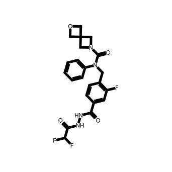 O=C(NNC(=O)C(F)F)c1ccc(CN(C(=O)N2CC3(COC3)C2)c2ccccc2)c(F)c1